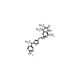 Cc1nc(NCc2cnn(C(C)c3ccc(C(F)(F)F)nc3)c2)nc2c1NC(=O)[C@H](C)N2C